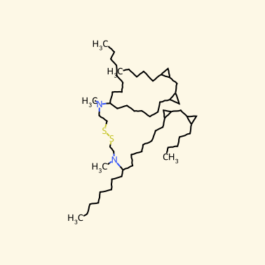 CCCCCCCCC(CCCCCCCC1CC1CC1CC1CCCCC)N(C)CCSSCCN(C)C(CCCCCCCC)CCCCCCCC1CC1CC1CC1CCCCC